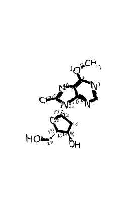 COc1ncnc2c1nc(Cl)n2[C@@H]1C[C@@H](O)[C@H](CO)O1